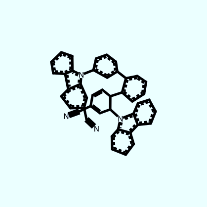 N#CC1=CC(n2c3ccccc3c3ccccc32)C(c2ccccc2-c2cccc(-n3c4ccccc4c4ccc(C#N)cc43)c2)C=C1